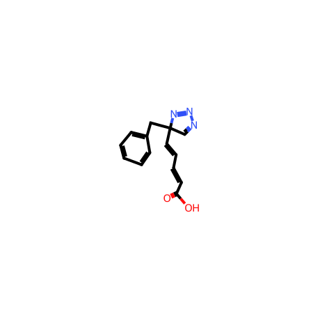 O=C(O)C=CC=CC1(Cc2ccccc2)C=NN=N1